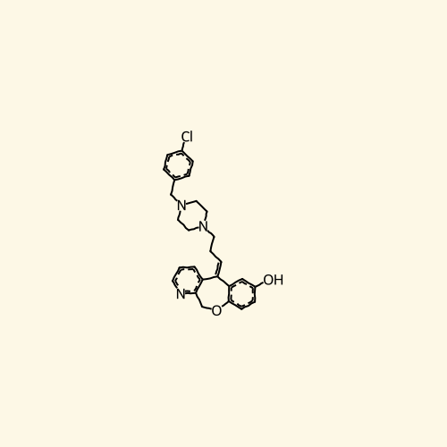 Oc1ccc2c(c1)/C(=C/CCN1CCN(Cc3ccc(Cl)cc3)CC1)c1cccnc1CO2